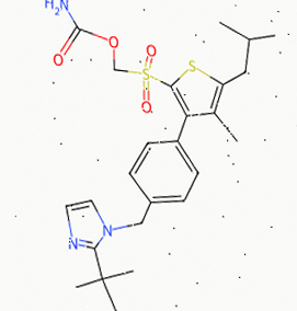 Cc1c(CC(C)C)sc(S(=O)(=O)COC(N)=O)c1-c1ccc(Cn2ccnc2C(C)(C)C)cc1